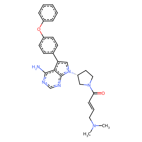 CN(C)CC=CC(=O)N1CC[C@@H](n2cc(-c3ccc(Oc4ccccc4)cc3)c3c(N)ncnc32)C1